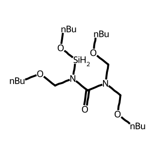 CCCCOCN(COCCCC)C(=O)N(COCCCC)[SiH2]OCCCC